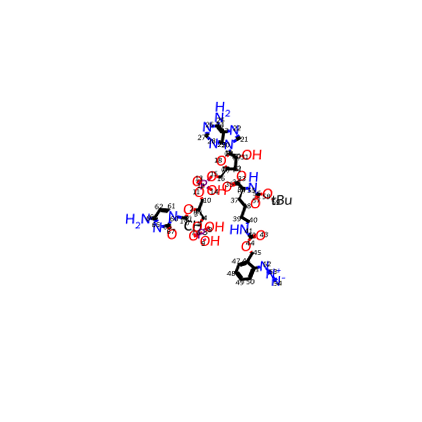 C[C@@H](O[C@H](COP(=O)(O)O)COP(=O)(O)OC[C@H]1O[C@@H](n2cnc3c(N)ncnc32)[C@H](O)[C@@H]1OC(=O)[C@H](CCCCNC(=O)OCc1ccccc1N=[N+]=[N-])NC(=O)OC(C)(C)C)n1ccc(N)nc1=O